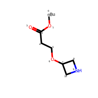 CCCCOC(=O)CCOC1CNC1